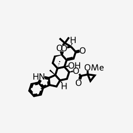 COC1(C(=O)O[C@H]2C[C@H]3Cc4c([nH]c5ccccc45)[C@]3(C)[C@@]3(C)CC[C@@]45O[C@H](C(=O)C=C4[C@]23O)C(C)(C)O5)CC1